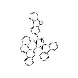 c1ccc(-c2ccccc2-c2nc(-c3ccc4c(c3)oc3ccccc34)nc(-c3cc4ccccc4c4ccc5ccccc5c34)n2)cc1